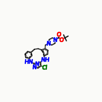 CC(C)(C)OC(=O)N1CCN(Cc2ccc3cc2CCc2cccc(c2)Nc2ncc(Cl)c(n2)N3)CC1